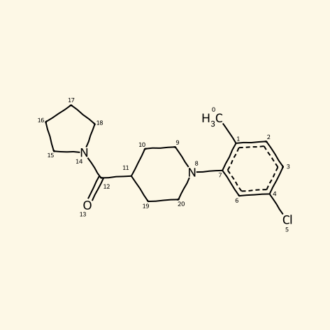 Cc1ccc(Cl)cc1N1CCC(C(=O)N2CCCC2)CC1